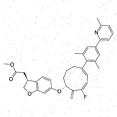 C=C1/C(F)=C\C=C(\c2c(C)cc(-c3cccc(C)n3)cc2C)CCC[C@H]1Oc1ccc2c(c1)OC[C@H]2CC(=O)OC